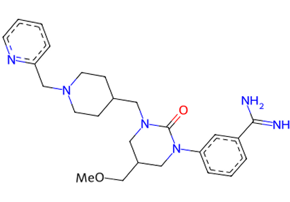 COCC1CN(CC2CCN(Cc3ccccn3)CC2)C(=O)N(c2cccc(C(=N)N)c2)C1